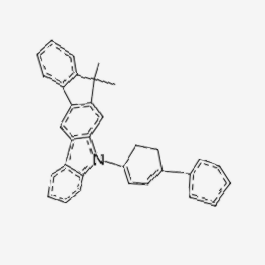 CC1(C)c2ccccc2-c2cc3c4ccccc4n(C4=CC=C(c5ccccc5)CC4)c3cc21